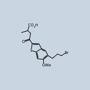 COc1cc2sc(C(=O)CC(C)C(=O)O)cc2cc1CCCBr